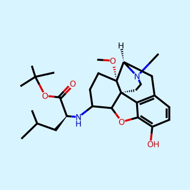 CO[C@@]12CCC(N[C@@H](CC(C)C)C(=O)OC(C)(C)C)C3Oc4c(O)ccc5c4[C@@]31CCN(C)[C@@H]2C5